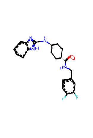 O=C(NCc1ccc(F)c(F)c1)[C@H]1CC[C@H](Nc2nc3ccccc3[nH]2)CC1